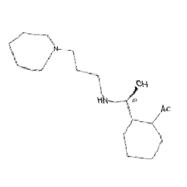 CC(=O)C1CCCCC1[C@H](O)NCCCN1CCCCC1